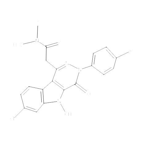 CN(C)C(=O)Cc1nn(-c2ccc(F)cc2)c(=O)c2c1c1ccc(Cl)cc1n2C